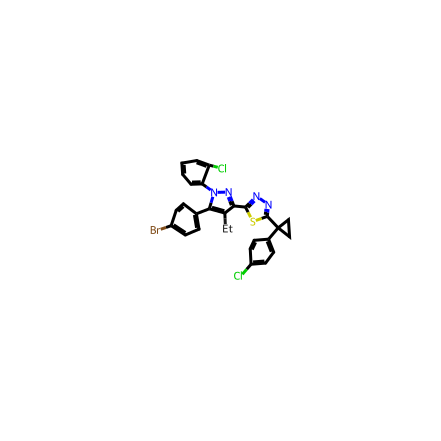 CCc1c(-c2nnc(C3(c4ccc(Cl)cc4)CC3)s2)nn(-c2ccccc2Cl)c1-c1ccc(Br)cc1